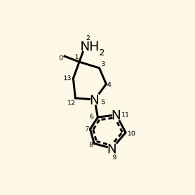 CC1(N)CCN(c2ccncn2)CC1